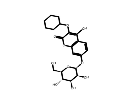 O=c1oc2cc(O[C@@H]3O[C@H](CO)[C@@H](O)[C@H](O)[C@@H]3O)ccc2c(O)c1OC1CCCCC1